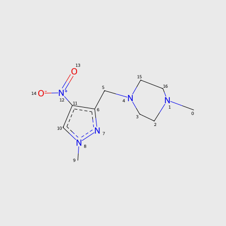 CN1CCN(Cc2nn(C)cc2[N+](=O)[O-])CC1